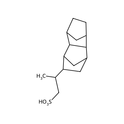 CC(CS(=O)(=O)O)C1CC2CC1C1C3CCC(C3)C21